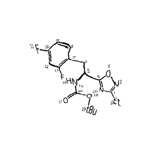 CCc1noc(C(Cc2ccc(F)cc2F)NC(=O)OC(C)(C)C)n1